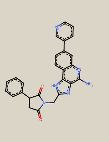 Nc1nc2cc(-c3cccnc3)ccc2c2[nH]c(CN3C(=O)CC(c4ccccc4)C3=O)nc12